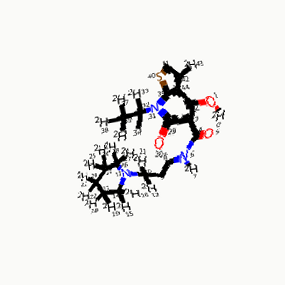 [2H]Oc1c(C(=O)N([2H])CCC([2H])([2H])N2C([2H])([2H])C([2H])([2H])C([2H])([2H])C([2H])([2H])C2([2H])[2H])c(=O)n(C([2H])(C)C([2H])([2H])[2H])c2scc([2H])c12